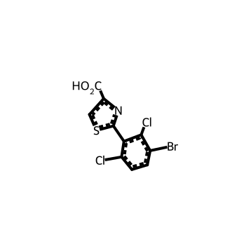 O=C(O)c1csc(-c2c(Cl)ccc(Br)c2Cl)n1